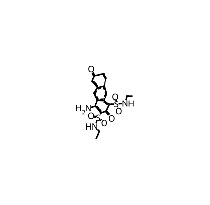 CCNS(=O)(=O)C1=C(N)c2cc3c(cc2=C(S(=O)(=O)NCC)C1=O)C=CC(=O)C=3